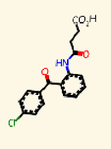 O=C(O)CCC(=O)Nc1ccccc1C(=O)c1ccc(Cl)cc1